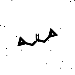 C1=C(CNCC2=CC2)C1